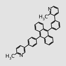 Cc1ccc(-c2ccc(-c3c4ccccc4c(-c4cccc(-c5cccnc5C)c4)c4ccccc34)cc2)cn1